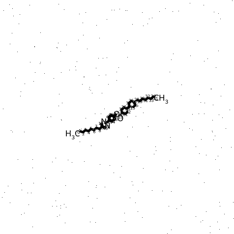 CCCCCCCCCc1cnc(-c2ccc(OC(=O)[C@H]3CC[C@H]([C@H]4CC[C@H](CCCCCCCC)CC4)CC3)cc2)nc1